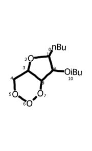 CCCCC1OC2COOOC2C1OCC(C)C